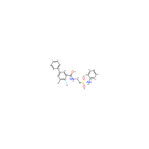 Cc1cc(-c2ccccc2)cc(C(=O)NCCS(=O)(=O)Nc2ccccc2)c1F